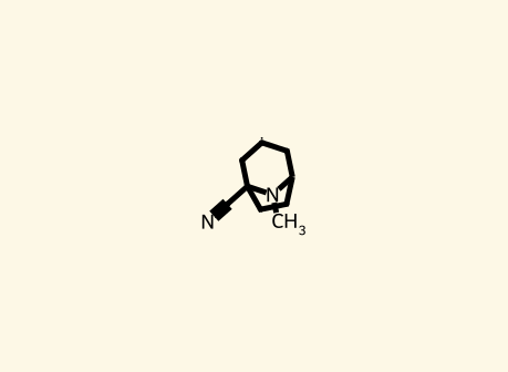 CN1C2C[CH]CC1(C#N)CC2